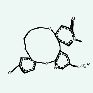 Cn1cc2c(cc1=O)OCCCCc1cc(Cl)ccc1Oc1ncc(C(=O)O)cc1-2